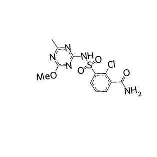 COc1nc(C)nc(NS(=O)(=O)c2cccc(C(N)=O)c2Cl)n1